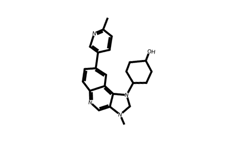 Cc1ccc(-c2ccc3ncc4c(c3c2)N(C2CCC(O)CC2)CN4C)cn1